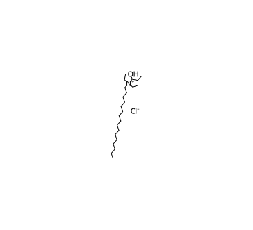 CCCCCCCCCCCCCCCC[N+](CC)(CC)C(O)CC.[Cl-]